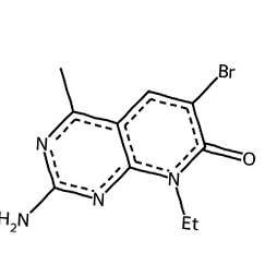 CCn1c(=O)c(Br)cc2c(C)nc(N)nc21